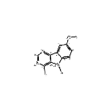 COc1ccc2c(c1)c1ncnc(C)c1n2C